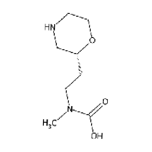 CN(CC[C@@H]1CNCCO1)C(=O)O